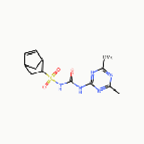 COc1nc(C)nc(NC(=O)NS(=O)(=O)C2CC3C=CC2C3)n1